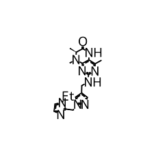 CCn1ccnc1Cn1cc(CNc2nc(C)c3c(n2)N(C)[C@@H](C)C(=O)N3)cn1